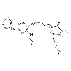 CCCNc1nc(NC2=CC(F)CC=C2)ncc1C#CCCCNC(=O)[C@H](CC)N(C)C(=O)/C=C/CN(C)C